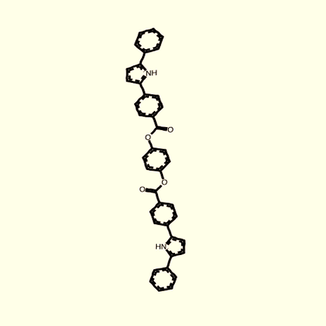 O=C(Oc1ccc(OC(=O)c2ccc(-c3ccc(-c4ccccc4)[nH]3)cc2)cc1)c1ccc(-c2ccc(-c3ccccc3)[nH]2)cc1